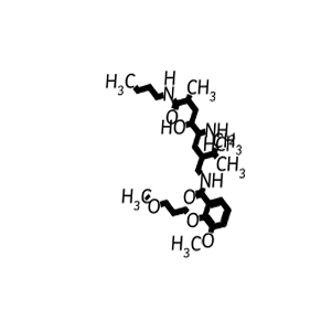 CCCCNC(=O)C(C)CC(O)C(N)CC(CNC(=O)c1cccc(OC)c1OCCCOC)C(C)C.Cl